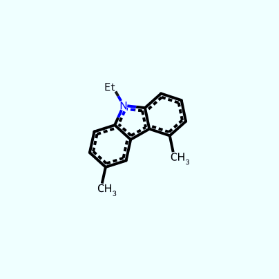 CCn1c2ccc(C)cc2c2c(C)cccc21